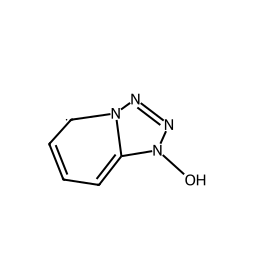 ON1N=NN2[CH]C=CC=C12